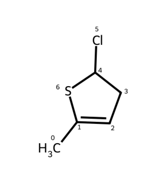 CC1=CCC(Cl)S1